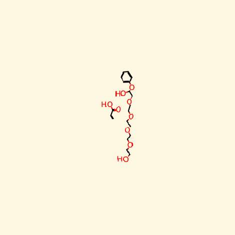 C=CC(=O)O.OCCOCCOCCOCCOCC(O)Oc1ccccc1